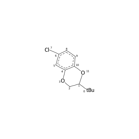 CC(C)(C)C1COc2cc(Cl)ccc2O1